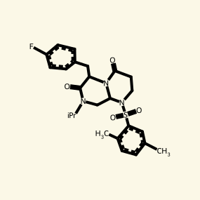 Cc1ccc(C)c(S(=O)(=O)N2CCC(=O)N3C(Cc4ccc(F)cc4)C(=O)N(C(C)C)CC32)c1